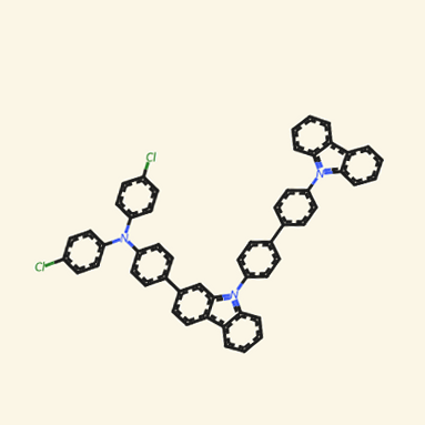 Clc1ccc(N(c2ccc(Cl)cc2)c2ccc(-c3ccc4c5ccccc5n(-c5ccc(-c6ccc(-n7c8ccccc8c8ccccc87)cc6)cc5)c4c3)cc2)cc1